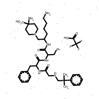 CC(C)CC(NC(=O)C(Cc1ccccc1)NC(=O)CNCC(C)(C)c1ccccc1)C(=O)NC(CCCCN)CN1CCC(N)(C(=O)O)CC1.O=C(O)C(F)(F)F